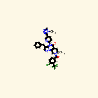 C[C@@H]1Cc2c(n3ncc(Cc4ccccc4)c3n(-c3ccc(-c4nncn4C)cn3)c2=O)CN1C(=O)c1ccc(Br)c(C(F)(F)F)c1